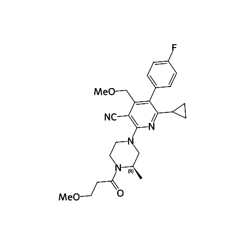 COCCC(=O)N1CCN(c2nc(C3CC3)c(-c3ccc(F)cc3)c(COC)c2C#N)C[C@H]1C